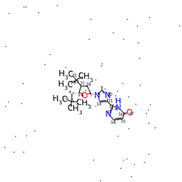 CC(C)(C)C[C@H]1O[C@@H](n2cnc(-c3nccc(=O)[nH]3)c2)CC1C(C)(C)C